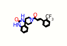 O=C1Nc2ccccc2C2(CCN(C(=O)/C=C/c3ccccc3C(F)(F)F)CC2)N1